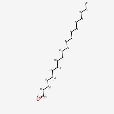 CCCCCCCCCCCCCCCCCCC[C]=O